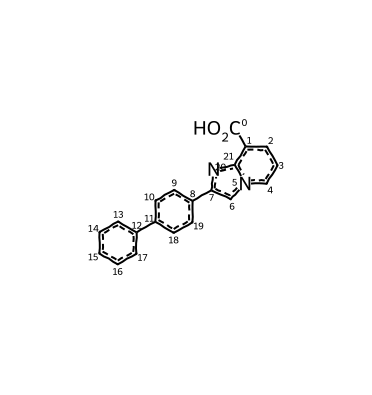 O=C(O)c1cccn2cc(-c3ccc(-c4ccccc4)cc3)nc12